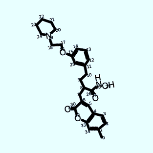 Cc1ccc2cc(CC(CCc3cccc(OCCN4CCCCC4)c3)C(=O)NO)c(=O)oc2c1